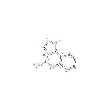 Nc1nc2c[c]ccc2c2nccn12